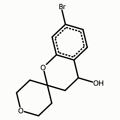 OC1CC2(CCOCC2)Oc2cc(Br)ccc21